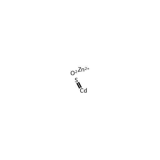 [O-2].[S]=[Cd].[Zn+2]